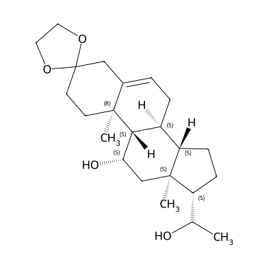 CC(O)[C@H]1CC[C@H]2[C@@H]3CC=C4CC5(CC[C@]4(C)[C@H]3[C@@H](O)C[C@]12C)OCCO5